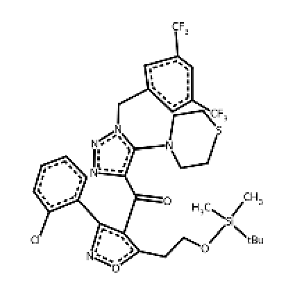 CC(C)(C)[Si](C)(C)OCCc1onc(-c2ccccc2Cl)c1C(=O)c1nnn(Cc2cc(C(F)(F)F)cc(C(F)(F)F)c2)c1N1CCSCC1